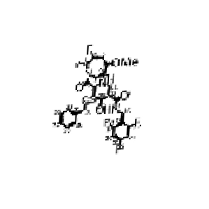 CO[C@@H]1C[C@H](F)[C@H](C)N2C[C@H]1n1cc(C(=O)NCc3c(F)cc(F)cc3F)c(=O)c(OCc3ccccc3)c1C2=O